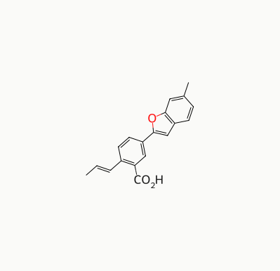 CC=Cc1ccc(-c2cc3ccc(C)cc3o2)cc1C(=O)O